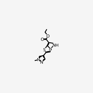 CCOC(=O)C1=C2SC(c3cnn(C)c3)=CN2NC1